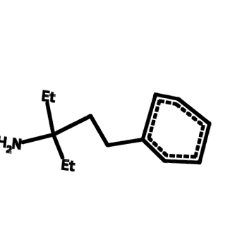 CCC(N)(CC)CCc1ccccc1